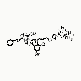 CC(C)(C)OC(=O)N1CC(OCCCN(CC[C@H](NC(=O)OCc2ccccc2)C(=O)O)c2c(N)cc(Br)cc2Cl)C1